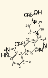 Cc1ccc2[nH]ncc2c1-c1cc2nncc(N3CCN(C(=O)O)CC3)c2cc1Cl